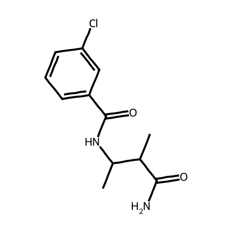 CC(NC(=O)c1cccc(Cl)c1)C(C)C(N)=O